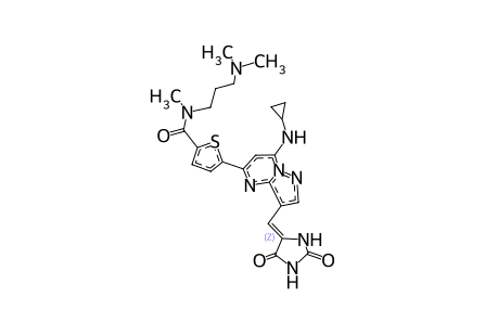 CN(C)CCCN(C)C(=O)c1ccc(-c2cc(NC3CC3)n3ncc(/C=C4\NC(=O)NC4=O)c3n2)s1